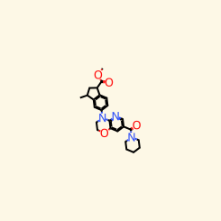 COC(=O)C1CC(C)c2cc(N3CCOc4cc(C(=O)N5CCCCC5)cnc43)ccc21